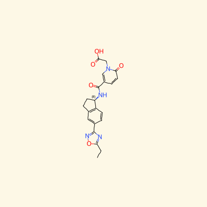 CCc1nc(-c2ccc3c(c2)CC[C@H]3NC(=O)c2ccc(=O)n(CC(=O)O)c2)no1